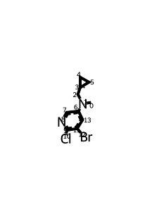 CN(C[C]1CC1)c1cnc(Cl)c(Br)c1